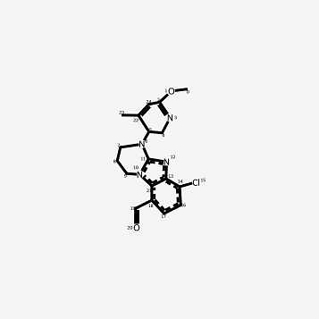 COC1=NCC(N2CCCn3c2nc2c(Cl)ccc(C=O)c23)C(C)=C1